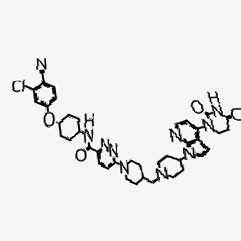 N#Cc1ccc(O[C@H]2CC[C@H](NC(=O)c3ccc(N4CCC(CN5CCC(n6ccc7c(N8CCC(=O)NC8=O)ccnc76)CC5)CC4)nn3)CC2)cc1Cl